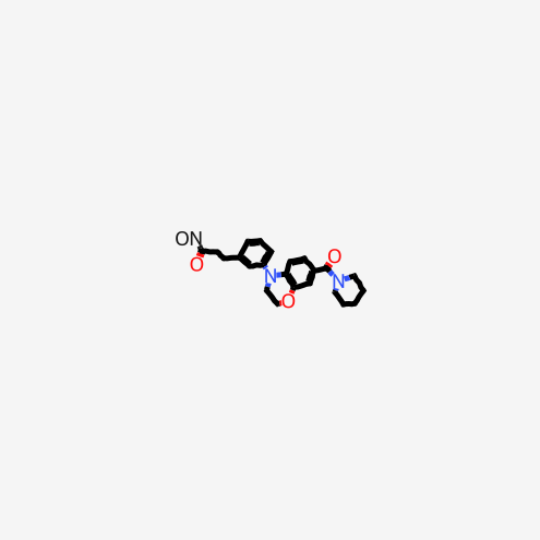 O=NC(=O)CCc1cccc(N2CCOc3cc(C(=O)N4CCCCC4)ccc32)c1